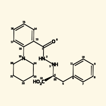 O=C(NN[C@@H](Cc1ccccc1)C(=O)O)c1ccccc1N1CCCCC1